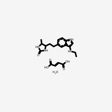 CCNc1c[nH]c2ccc(CCC3NC(=O)NC3C)cc12.O.O=C(O)C=CC(=O)O